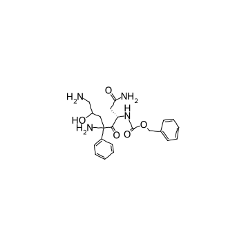 NCC(O)CC(N)(C(=O)[C@H](CC(N)=O)NC(=O)OCc1ccccc1)c1ccccc1